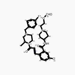 CC1CN(Cc2ccc(F)cc2)CCN1C(=O)/C=C/c1ccc(Cl)cc1C(=O)NC1CCN(CCOC=O)CC1